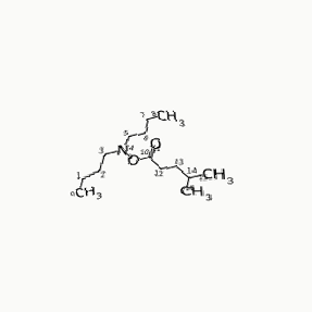 CCCCN(CCCC)OC(=O)CCC(C)C